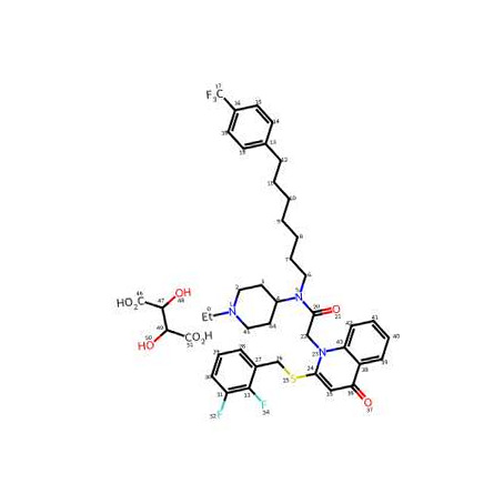 CCN1CCC(N(CCCCCCCc2ccc(C(F)(F)F)cc2)C(=O)Cn2c(SCc3cccc(F)c3F)cc(=O)c3ccccc32)CC1.O=C(O)C(O)C(O)C(=O)O